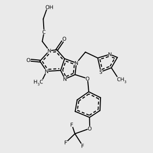 Cc1cnc(Cn2c(Oc3ccc(OC(F)(F)F)cc3)nc3c2c(=O)n(CCCO)c(=O)n3C)s1